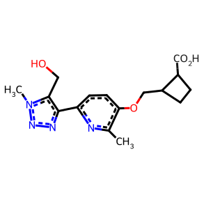 Cc1nc(-c2nnn(C)c2CO)ccc1OCC1CCC1C(=O)O